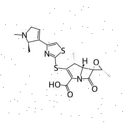 C[C@@H]1C(c2csc(SC3=C(C(=O)O)N4C(=O)[C@@]5(O[C@@H]5C)[C@H]4[C@H]3C)n2)=CCN1C